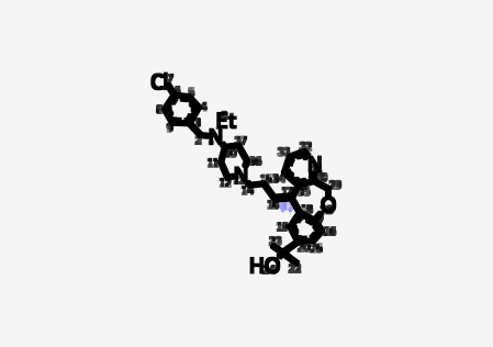 CCN(Cc1ccc(Cl)cc1)C1CCN(CC/C=C2/c3cc(C(C)(C)O)ccc3OCc3ncccc32)CC1